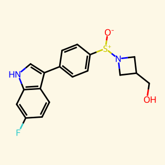 [O-][S+](c1ccc(-c2c[nH]c3cc(F)ccc23)cc1)N1CC(CO)C1